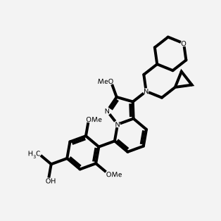 COc1cc(C(C)O)cc(OC)c1-c1cccc2c(N(CC3CCOCC3)CC3CC3)c(OC)nn12